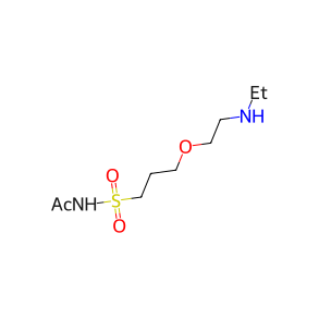 CCNCCOCCCS(=O)(=O)NC(C)=O